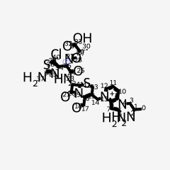 CC(N)Cn1c(N)cc2c1ccc[n+]2CC1=C(C=O)N2C(=O)C(NC(=O)/C(=N\O[C@@H](C)C(=O)O)c3nc(N)sc3Cl)C2SC1